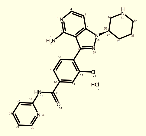 Cl.Nc1nccc2c1c(-c1ccc(C(=O)Nc3ccccn3)cc1Cl)nn2[C@@H]1CCCNC1